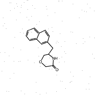 O=C1COCC(Cc2ccc3ccccc3c2)N1